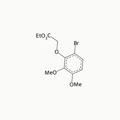 CCOC(=O)COc1c(Br)ccc(OC)c1OC